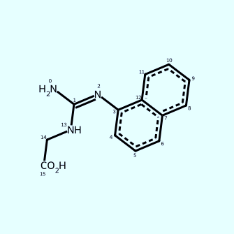 NC(=Nc1cccc2ccccc12)NCC(=O)O